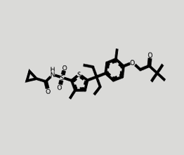 CCC(CC)(c1ccc(OCC(=O)C(C)(C)C)c(C)c1)c1cc(C)c(S(=O)(=O)NC(=O)C2CC2)s1